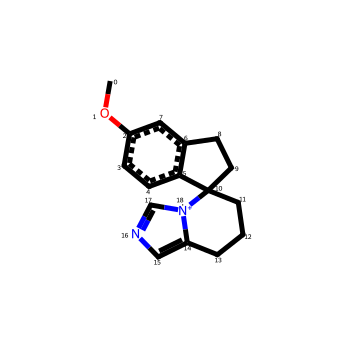 COc1ccc2c(c1)CCC21CCCC2=CN=C[N+]21